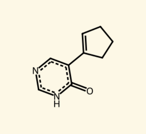 O=c1[nH]cncc1C1=CCCC1